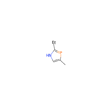 CCc1[nH]cc(C)p1